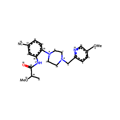 COc1ccc(CN2CCN(c3ccc(C#N)cc3NC(=O)C(C)OC)CC2)nc1